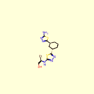 CC/C(=C/O)Nc1nnc([C@H]2CCCC(c3nnc(N)s3)C2)s1